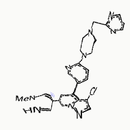 CN/C=C(\C=N)c1cc(-c2ccc(N3CCN(Cc4ncccn4)CC3)nc2)c2c(Cl)cnn2c1